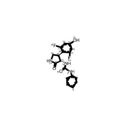 O=C(Nc1ccccc1)N[C@@H]1C(=O)NC[C@H]1c1c(F)cc(O)cc1F